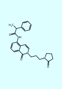 CC(C(=O)Nc1cccc2c(=O)n(CCCN3CCCC3=O)ccc12)c1ccccc1